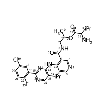 CC(CNC(=O)c1cnccc1Nc1nc(-c2cc(Cl)ccc2F)ncc1C(C)C)OC(=O)C(N)C(C)C